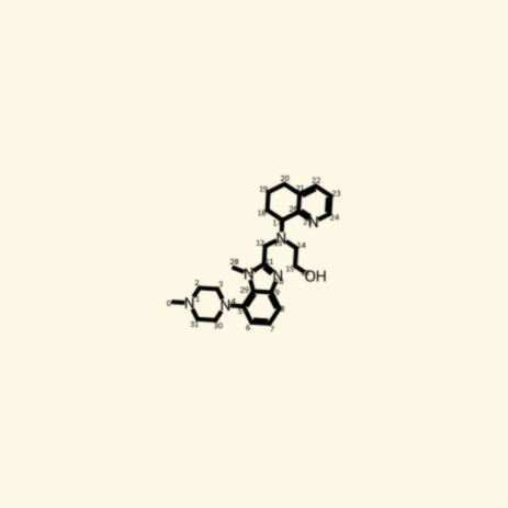 CN1CCN(c2cccc3nc(CN(CCO)C4CCCc5cccnc54)n(C)c23)CC1